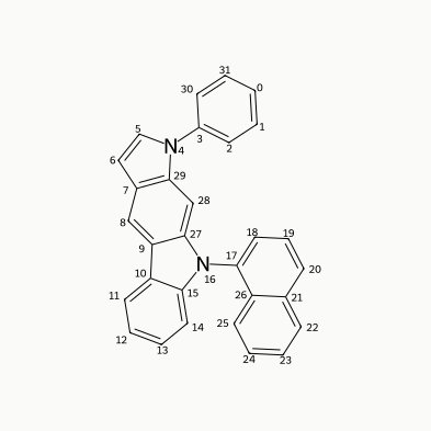 c1ccc(-n2ccc3cc4c5ccccc5n(-c5cccc6ccccc56)c4cc32)cc1